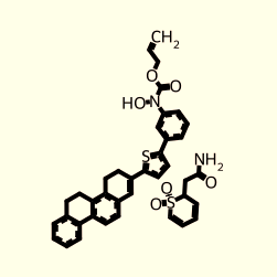 C=CCOC(=O)N(O)c1cccc(-c2ccc(C3=Cc4ccc5c(c4CC3)CCc3ccccc3-5)s2)c1.NC(=O)CC1C=CC=CS1(=O)=O